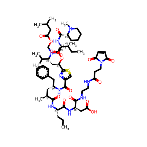 CCC[C@H](NC(=O)[C@@H](C)C[C@H](Cc1ccccc1)NC(=O)c1csc([C@@H](C[C@H](C(C)C)N(COC(=O)CC(C)C)C(=O)[C@@H](NC(=O)[C@H]2CCCCN2C)[C@@H](C)CC)OC(C)=O)n1)C(=O)N[C@H](CC(=O)O)C(=O)NCCNC(=O)CCN1C(=O)C=CC1=O